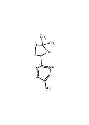 CC1(C)OC[C@@H](c2ncc(N)cn2)O1